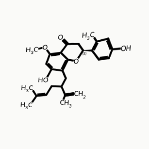 C=C(C)C(CC=C(C)C)Cc1c(O)cc(OC)c2c1O[C@H](c1ccc(O)cc1C)CC2=O